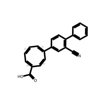 N#Cc1cc(C2=C/C=C\C=C(C(=O)O)/C=C\2)ccc1-c1ccccc1